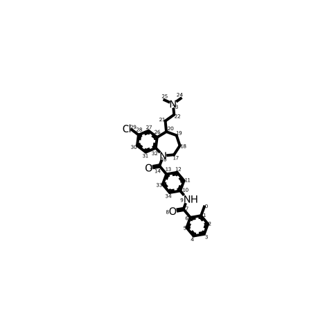 Cc1ccccc1C(=O)Nc1ccc(C(=O)N2CCCC(CCN(C)C)c3cc(Cl)ccc32)cc1